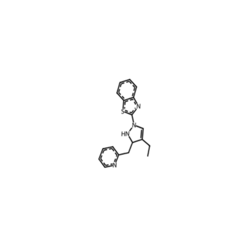 CCC1=CN(c2nc3ccccc3s2)NC1Cc1ccccn1